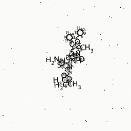 CSC1(C(=O)OC(c2ccccc2)c2ccccc2)CS[C@@H]2C(NC(=O)C(=NOCC(=O)OC(C)(C)C)c3csc(N)n3)C(=O)N2C1